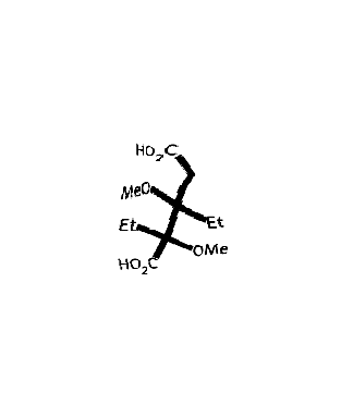 CCC(CC(=O)O)(OC)C(CC)(OC)C(=O)O